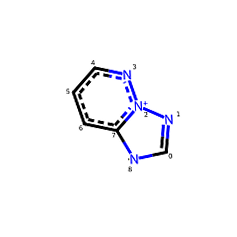 C1=N[n+]2ncccc2[N]1